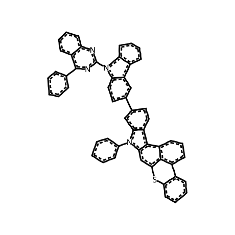 c1ccc(-c2nc(-n3c4ccccc4c4cc(-c5ccc6c7c8cccc9c8c(cc7n(-c7ccccc7)c6c5)Sc5ccccc5-9)ccc43)nc3ccccc23)cc1